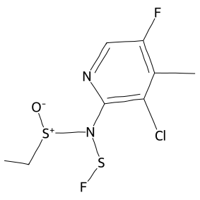 CC[S+]([O-])N(SF)c1ncc(F)c(C)c1Cl